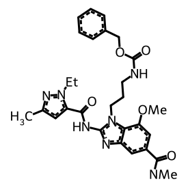 CCn1nc(C)cc1C(=O)Nc1nc2cc(C(=O)NC)cc(OC)c2n1CCCNC(=O)OCc1ccccc1